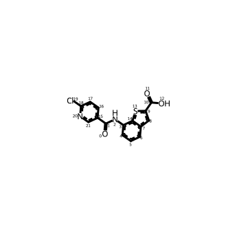 O=C(Nc1cccc2cc(C(=O)O)sc12)c1ccc(Cl)nc1